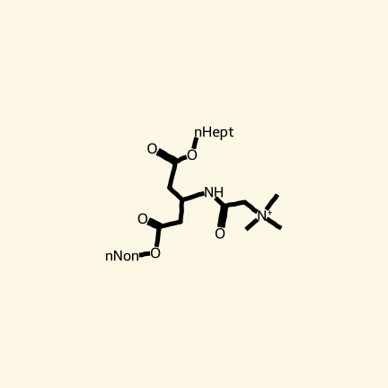 CCCCCCCCCOC(=O)CC(CC(=O)OCCCCCCC)NC(=O)C[N+](C)(C)C